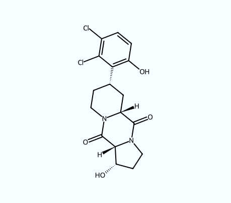 O=C1[C@H]2[C@@H](O)CCN2C(=O)[C@H]2C[C@@H](c3c(O)ccc(Cl)c3Cl)CCN12